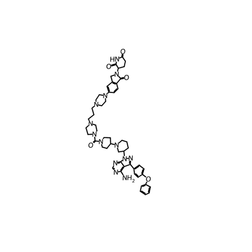 Nc1ncnc2c1c(-c1ccc(Oc3ccccc3)cc1)nn2C1CCCN(C2CCN(C(=O)N3CCN(CCCN4CCN(c5ccc6c(c5)CN(C5CCC(=O)NC5=O)C6=O)CC4)CC3)CC2)C1